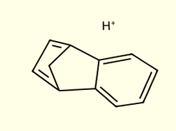 C1=C2CC(=C1)c1ccccc12.[H+]